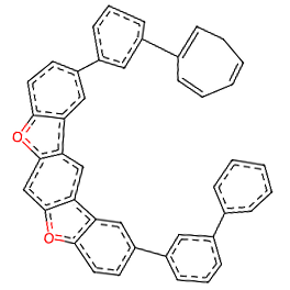 C1=CCC=C(c2cccc(-c3ccc4oc5cc6oc7ccc(-c8cccc(-c9ccccc9)c8)cc7c6cc5c4c3)c2)C=C1